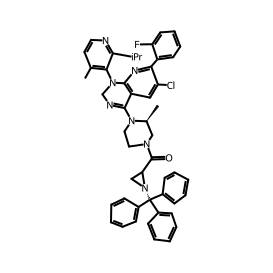 Cc1ccnc(C(C)C)c1N1CN=C(N2CCN(C(=O)C3C[N@@]3C(c3ccccc3)(c3ccccc3)c3ccccc3)C[C@@H]2C)c2cc(Cl)c(-c3ccccc3F)nc21